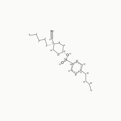 CCCCC[C@]1(C#N)CC[C@H](OC(=O)c2ccc(CCCC)cc2)CC1